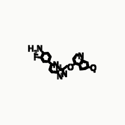 COc1ccc2c(OCc3nnc4ccc(-c5ccc(N)c(F)c5)nn34)ccnc2c1